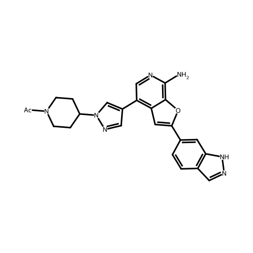 CC(=O)N1CCC(n2cc(-c3cnc(N)c4oc(-c5ccc6cn[nH]c6c5)cc34)cn2)CC1